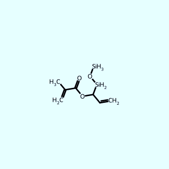 C=CC(OC(=O)C(=C)C)[SiH2]O[SiH3]